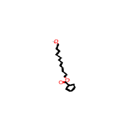 [O]CCCCCCCCCCCCOC(=O)c1ccccc1